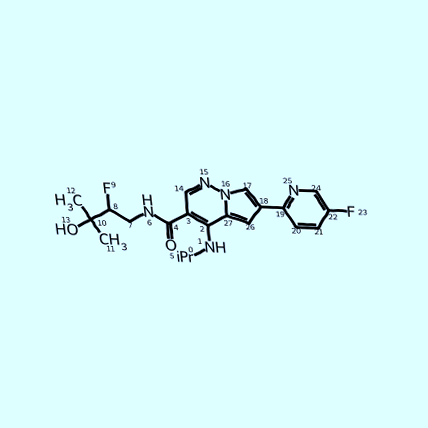 CC(C)Nc1c(C(=O)NCC(F)C(C)(C)O)cnn2cc(-c3ccc(F)cn3)cc12